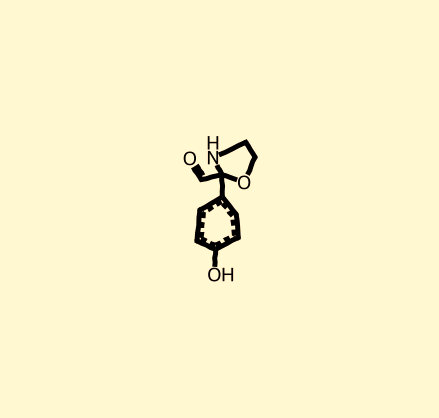 O=CC1(c2ccc(O)cc2)NCCO1